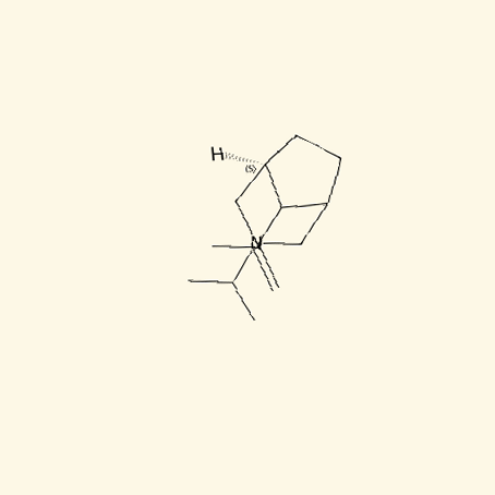 C=C(C)C1C2CC[C@@H]1CN(C(C)C)C2